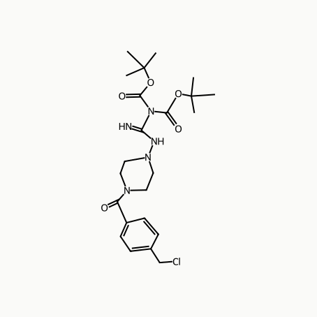 CC(C)(C)OC(=O)N(C(=N)NN1CCN(C(=O)c2ccc(CCl)cc2)CC1)C(=O)OC(C)(C)C